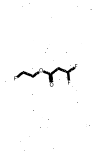 O=C(CC(F)F)OCCF